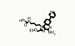 CCCC(=O)NCCCCn1c(COCC)nc2c(N)nc3cc(-c4cccnc4)ccc3c21